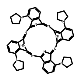 c1cc2c(c(N3CCCC3)c1)-c1nc-2nc2[nH]c(nc3nc(nc4[nH]c(n1)c1cccc(N5CCCC5)c41)-c1cccc(N4CCCC4)c1-3)c1cccc(N3CCCC3)c21